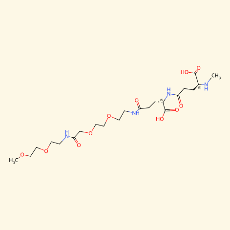 CN[C@@H](CCC(=O)N[C@@H](CCC(=O)NCCOCCOCC(=O)NCCOCCOC)C(=O)O)C(=O)O